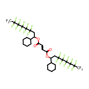 O=C(/C=C/C(=O)OC(CC(F)(F)C(F)(F)C(F)(F)C(F)(F)C(F)(F)C(F)(F)F)C1CCCCC1)OC(CC(F)(F)C(F)(F)C(F)(F)C(F)(F)C(F)(F)C(F)(F)F)C1CCCCC1